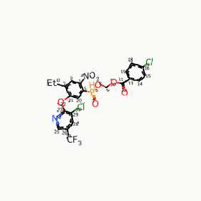 CCc1cc([N+](=O)[O-])c([PH](=O)OCOC(=O)c2ccc(Cl)cc2)cc1Oc1ncc(C(F)(F)F)cc1Cl